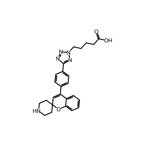 O=C(O)CCCCn1nnc(-c2ccc(C3=CC4(CCNCC4)Oc4ccccc43)cc2)n1